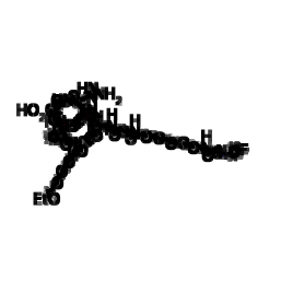 CCC(=O)CCCOCCOCCOCCCC(=O)[C@@H]1CSCC(=O)N[C@@H](CCCCNC(=O)COCC(=O)NCCOCCOCCOCCOCCOCCNC(=O)CO/N=C/c2ccc([18F])cc2)C(=O)N[C@H]2CSSC[C@H](NC(=O)[C@H](CC(=O)O)CC(=O)CNC(=O)[C@H](CCCNC(=N)N)CC2=O)C(=O)C[C@@H](Cc2ccccc2)C(=O)N1